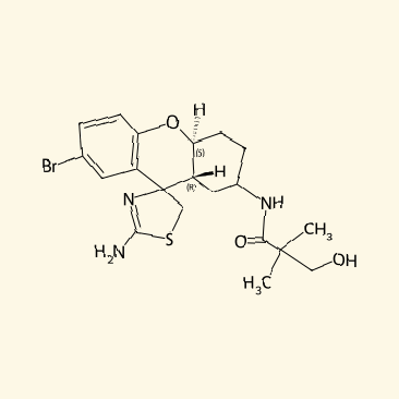 CC(C)(CO)C(=O)NC1CC[C@@H]2Oc3ccc(Br)cc3C3(CSC(N)=N3)[C@H]2C1